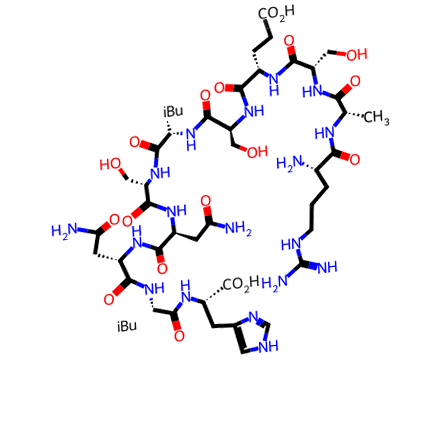 CC[C@H](C)[C@H](NC(=O)[C@H](CC(N)=O)NC(=O)[C@H](CC(N)=O)NC(=O)[C@H](CO)NC(=O)[C@@H](NC(=O)[C@H](CO)NC(=O)[C@H](CCC(=O)O)NC(=O)[C@H](CO)NC(=O)[C@H](C)NC(=O)[C@@H](N)CCCNC(=N)N)[C@@H](C)CC)C(=O)N[C@@H](Cc1c[nH]cn1)C(=O)O